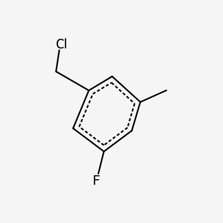 Cc1cc(F)cc(CCl)c1